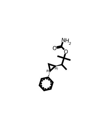 CC([C@@H]1C[C@H]1c1ccccc1)C(C)(C)OC(N)=O